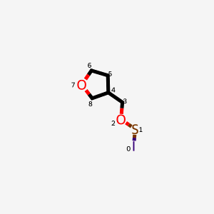 ISOCC1CCOC1